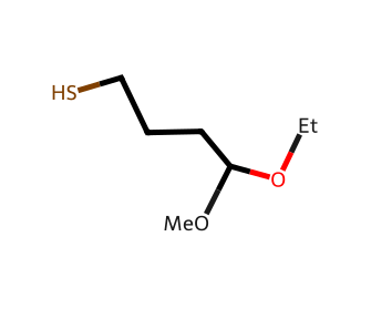 CCOC(CCCS)OC